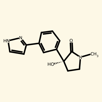 CN1CC[C@@](O)(c2cccc(-c3cc[nH]n3)c2)C1=O